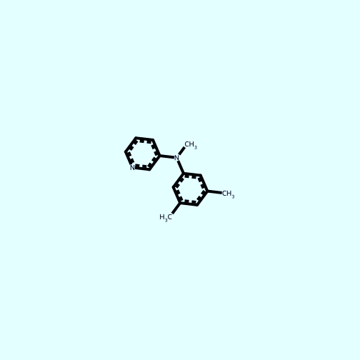 Cc1cc(C)cc(N(C)c2cccnc2)c1